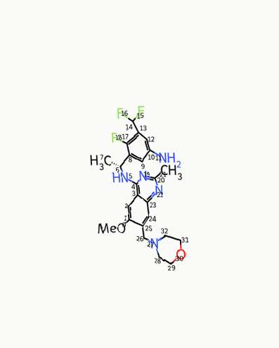 COc1cc2c(N[C@H](C)c3cc(N)cc(C(F)F)c3F)nc(C)nc2cc1CN1CCOCC1